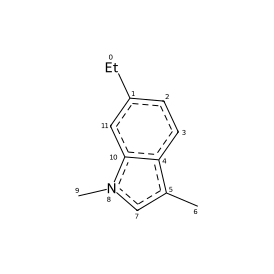 CCc1ccc2c(C)cn(C)c2c1